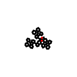 c1ccc([Si]2(c3ccccc3)c3ccccc3-c3c(-c4cccc5c(-c6cccc7c6-c6c(ccc8ccccc68)C76c7ccccc7-c7ccccc76)c6cccc(-c7cccc8c7-c7ccccc7[Si]8(c7ccccc7)c7ccccc7)c6cc45)cccc32)cc1